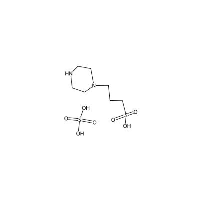 O=S(=O)(O)CCCN1CCNCC1.O=S(=O)(O)O